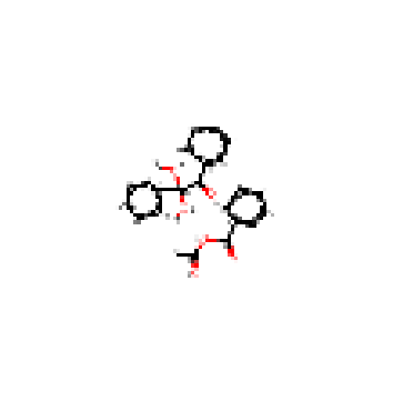 CC(=O)OC(=O)c1ccccc1.COC(OC)(C(=O)c1ccccc1)c1ccccc1